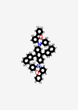 C1=CC2Oc3c(cccc3N(c3ccccc3)c3ccc4c(-c5ccc6ccccc6c5)c5cc(N(c6ccccc6)c6cccc7c6oc6ccccc67)ccc5c(-c5ccc6ccccc6c5)c4c3)C2C=C1